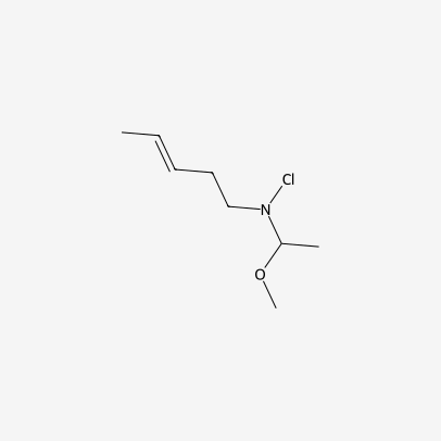 C/C=C/CCN(Cl)C(C)OC